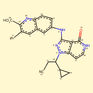 CC(C)c1cc2cc(Nc3nn(C(CC#N)C4CC4)c4cc[nH]c(=O)c34)ccc2nc1C(=O)O